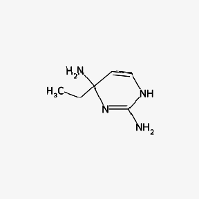 CCC1(N)C=CNC(N)=N1